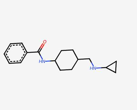 O=C(NC1CCC(CNC2CC2)CC1)c1ccccc1